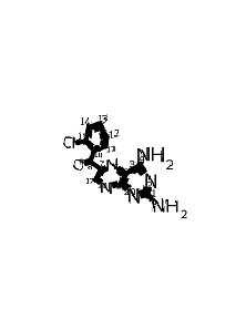 Nc1nc(N)c2nc(C(=O)c3ccccc3Cl)cnc2n1